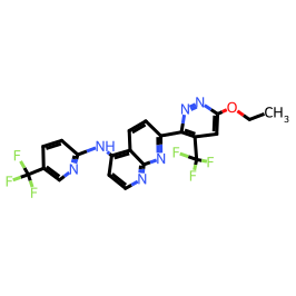 CCOc1cc(C(F)(F)F)c(-c2ccc3c(Nc4ccc(C(F)(F)F)cn4)ccnc3n2)nn1